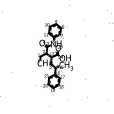 CCC(C(=O)Nc1ccccc1)C(CC(C)c1ccccc1)C(=O)O